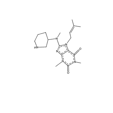 CC(C)=CCn1c(N(C)C2CCCNC2)nc2c1c(=O)n(C)c(=O)n2C